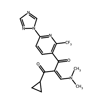 CN(C)/C=C(\C(=O)c1ccc(-n2cncn2)nc1C(F)(F)F)C(=O)C1CC1